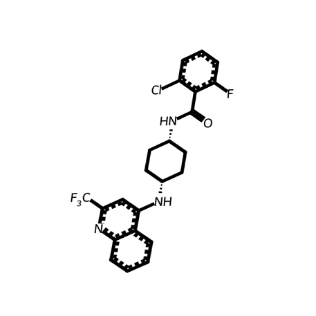 O=C(N[C@H]1CC[C@@H](Nc2cc(C(F)(F)F)nc3ccccc23)CC1)c1c(F)cccc1Cl